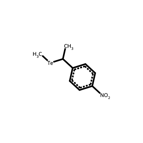 C[Te]C(C)c1ccc([N+](=O)[O-])cc1